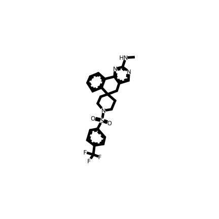 CNc1ncc2c(n1)-c1ccccc1C1(CCN(S(=O)(=O)c3ccc(C(F)(F)F)cc3)CC1)C2